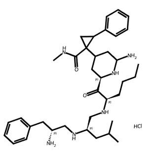 CCCC[C@@H](NC[C@@H](CC(C)C)NC[C@H](N)Cc1ccccc1)C(=O)[C@H]1CC(C2(C(=O)NC)CC2c2ccccc2)CC(N)N1.Cl